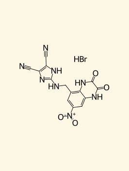 Br.N#Cc1nc(NCc2cc([N+](=O)[O-])cc3[nH]c(=O)c(=O)[nH]c23)[nH]c1C#N